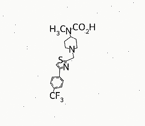 CN(C(=O)O)C1CCN(Cc2nc(-c3ccc(C(F)(F)F)cc3)cs2)CC1